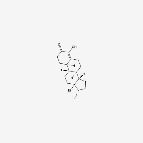 CCC12CC[C@H]3[C@@H](CCC4=C(O)C(=O)CC[C@@H]43)[C@@H]1CC[C@@H]2C(F)(F)F